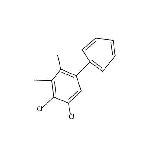 Cc1c(-c2ccccc2)cc(Cl)c(Cl)c1C